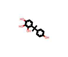 CC(C)(c1ccc(O)cc1)c1ccc(O)c(O)c1O